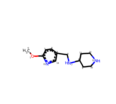 COc1ccc(CNC2CCNCC2)cn1